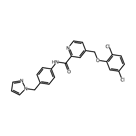 O=C(Nc1ccc(Cn2cccn2)cc1)c1cc(COc2cc(Cl)ccc2Cl)ccn1